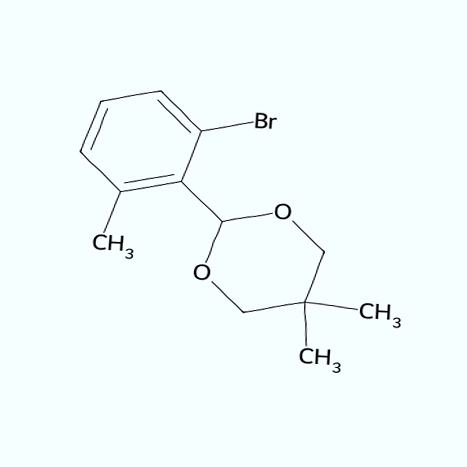 Cc1cccc(Br)c1C1OCC(C)(C)CO1